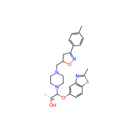 Cc1ccc(C2=NOC(CN3CCN(C(Oc4ccc5sc(C)nc5c4)[C@@H](C)O)CC3)C2)cc1